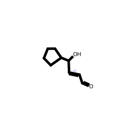 O=C/C=C/C(O)C1CCCC1